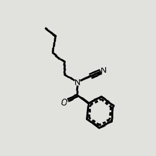 CCCCCN(C#N)C(=O)c1ccccc1